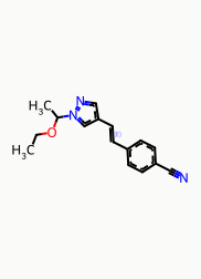 CCOC(C)n1cc(/C=C/c2ccc(C#N)cc2)cn1